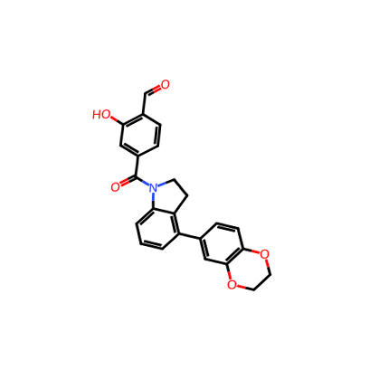 O=Cc1ccc(C(=O)N2CCc3c(-c4ccc5c(c4)OCCO5)cccc32)cc1O